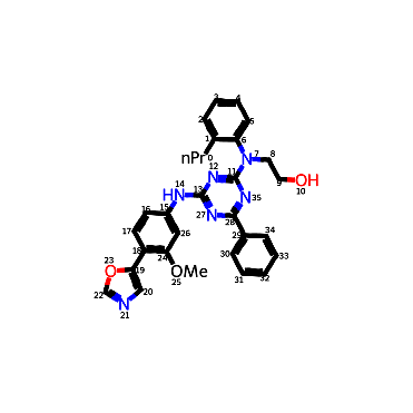 CCCc1ccccc1N(CCO)c1nc(Nc2ccc(-c3cnco3)c(OC)c2)nc(-c2ccccc2)n1